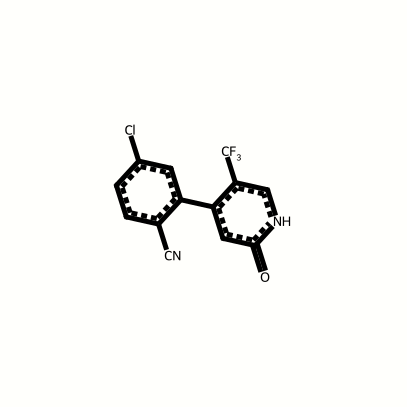 N#Cc1ccc(Cl)cc1-c1cc(=O)[nH]cc1C(F)(F)F